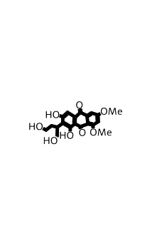 COc1cc(OC)c2c(c1)C(=O)c1cc(O)c(C(CO)CCO)c(O)c1C2=O